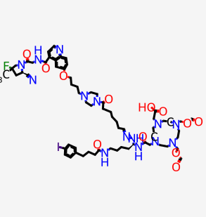 CC1(F)C[C@H](C#N)N(C(=O)CNC(=O)c2ccnc3ccc(OCCCCN4CCN(C(=O)CCCCC/C=N/N[C@H](CCCCNC(=O)CCCc5ccc(I)cc5)NC(=O)CN5CCN(COC=O)CCN(COC=O)CCN(CC(=O)O)CC5)CC4)cc23)C1